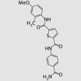 COc1ccc(NC(=O)c2ccc(C(=O)Nc3ccc(C(N)=O)cc3)s2)c(C)c1